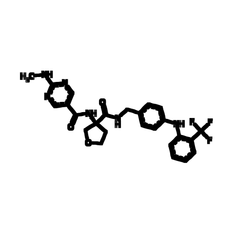 CNc1ncc(C(=O)N[C@@]2(C(=O)NCc3ccc(Nc4ccccc4C(F)(F)F)cc3)CCOC2)cn1